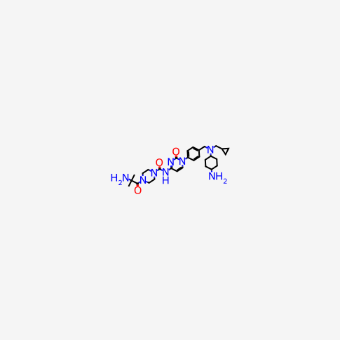 CC(C)(N)C(=O)N1CCN(C(=O)Nc2ccn(-c3ccc(CN(CC4CC4)C4CCC(N)CC4)cc3)c(=O)n2)CC1